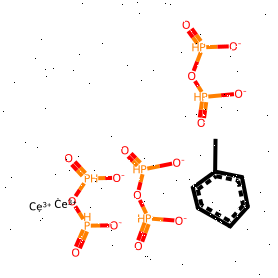 Cc1ccccc1.O=[PH]([O-])O[PH](=O)[O-].O=[PH]([O-])O[PH](=O)[O-].O=[PH]([O-])O[PH](=O)[O-].[Ce+3].[Ce+3]